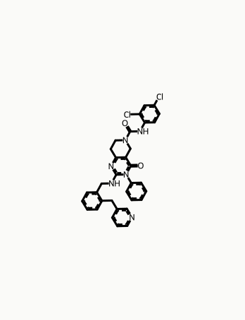 O=C(Nc1ccc(Cl)cc1Cl)N1CCc2nc(NCc3ccccc3Cc3cccnc3)n(-c3ccccc3)c(=O)c2C1